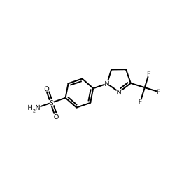 NS(=O)(=O)c1ccc(N2CCC(C(F)(F)F)=N2)cc1